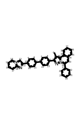 Cc1c(-c2ccc(-c3ccc(-c4cn5ccccc5n4)cc3)cc2)nn2c(-c3ccccc3)cc3ccccc3c12